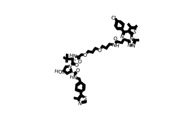 Cc1ncsc1-c1ccc(CNC(=O)[C@@H]2C[C@@H](O)CN2C(=O)[C@@H](NC(=O)COCCCOCCCNC(=O)CC2N=C(c3ccc(Cl)cc3)c3c(sc(C)c3C)-n3c(C)nnc32)C(C)(C)C)cc1